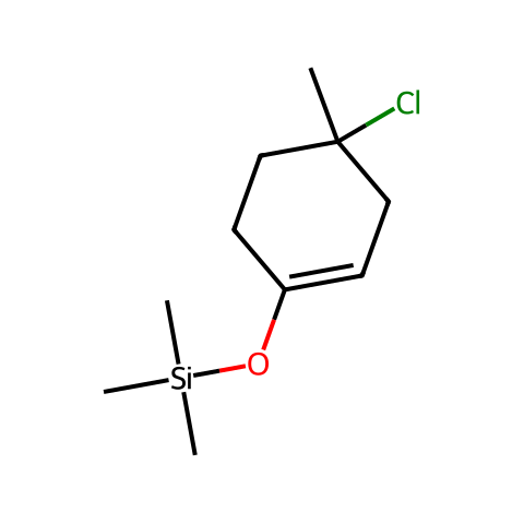 CC1(Cl)CC=C(O[Si](C)(C)C)CC1